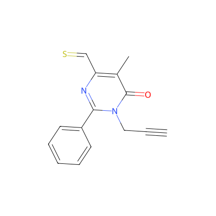 C#CCn1c(-c2ccccc2)nc(C=S)c(C)c1=O